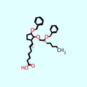 CCCCC[C@H](COC1C(/C=C/CCCCC(=O)O)CCC1OCc1ccccc1)OCc1ccccc1